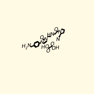 N#CC1CCCN1C(=O)CNCCn1ccn(-c2ccc(CN)cc2)c1=O.O=C(O)C(=O)O